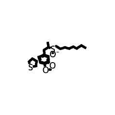 C1CCSC1.CCCCCCCC[S+]([O-])C(C)Cc1ccc2c(c1)OCO2